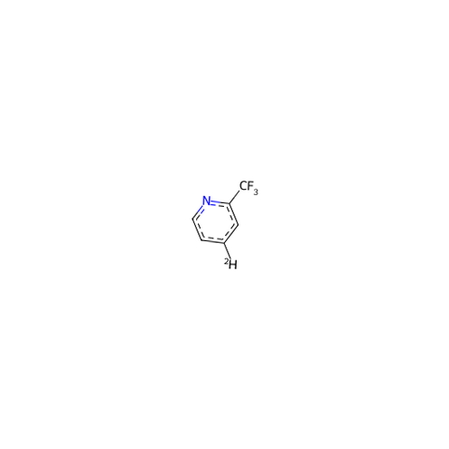 [2H]c1ccnc(C(F)(F)F)c1